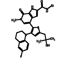 CCNC(=O)c1cc2c(-c3sc(CC(C)(C)O)cc3N3CCCc4cc(F)ccc43)cn(C)c(=O)c2[nH]1